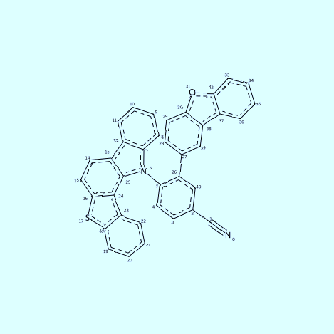 N#Cc1ccc(-n2c3ccccc3c3ccc4sc5ccccc5c4c32)c(-c2ccc3oc4ccccc4c3c2)c1